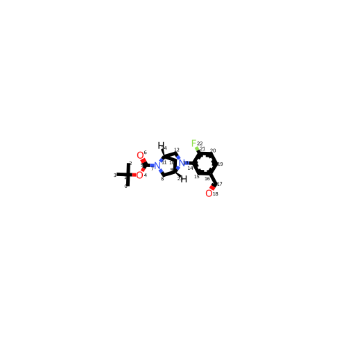 CC(C)(C)OC(=O)N1C[C@@H]2C[C@H]1CN2c1cc(C=O)ccc1F